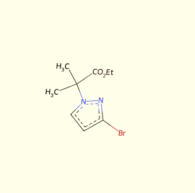 CCOC(=O)C(C)(C)n1ccc(Br)n1